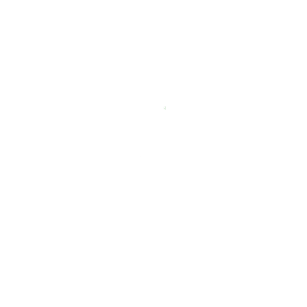 CC[S+]([O-])c1cc(Br)ccc1-c1ccccc1C